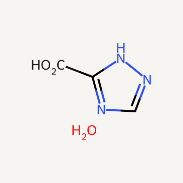 O.O=C(O)c1ncn[nH]1